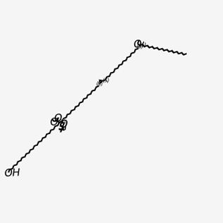 CCCCCCCCCCCCCCCCCC[C@H](C)[C@H](CCCCCCCCCCCCCCCC[C@H](C)C1C[C@H]1CCCCCCCCCCCCCCCCCC[C@@H](O[Si](C)(C)C(C)(C)C)C(CCCCCCCCCCCCCCCCCCCCCCCCO)C(=O)OC)OC